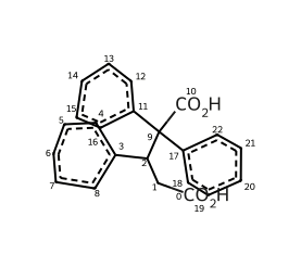 O=C(O)CC(c1ccccc1)C(C(=O)O)(c1ccccc1)c1ccccc1